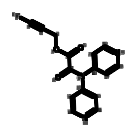 O=C(OCC#CF)C(=O)N(c1ccncc1)c1ccncc1